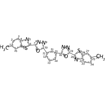 Cc1ccc2nc(-c3nnc(-c4cccc(-c5nnc(-c6nc7ccc(C)cc7s6)o5)c4)o3)sc2c1